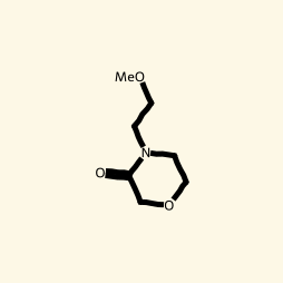 COCCN1CCOCC1=O